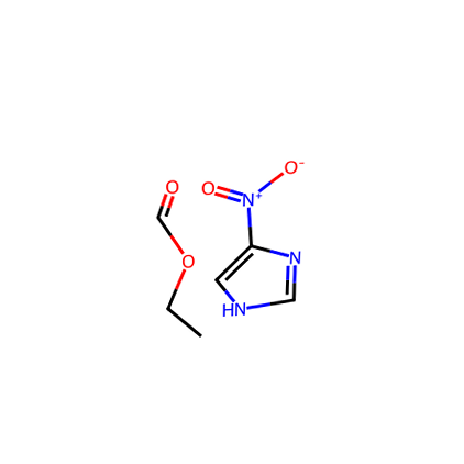 CCOC=O.O=[N+]([O-])c1c[nH]cn1